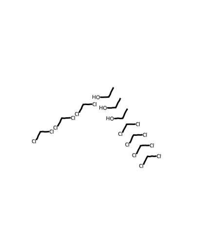 CCO.CCO.CCO.ClCCl.ClCCl.ClCCl.ClCCl.ClCCl.ClCCl.ClCCl